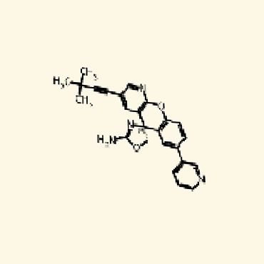 CC(C)(C)C#Cc1cnc2c(c1)[C@@]1(COC(N)=N1)c1cc(-c3cccnc3)ccc1O2